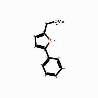 COCc1ccc(-c2ccccc2)s1